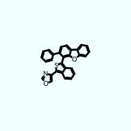 c1ccc(-c2ccc3c(oc4ccccc43)c2-c2sc(-c3cocn3)c3ccccc23)cc1